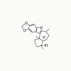 CCC1(C)CCCC2(C)c3c(oc4cc5c(cc34)OCO5)C(C)CC[C@@H]12